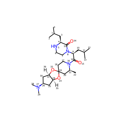 CC(C)C[C@@H]1NCCN([C@@H](CC(C)C)C(=O)N2CCC3(C[C@@H]2C)O[C@H]2C[C@@H](N(C)C)C[C@H]2O3)C1=O